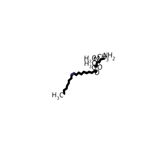 CCCCCCCC/C=C\CCCCCCCC(=O)OC(=O)C(C)(CCCN)N(C)C